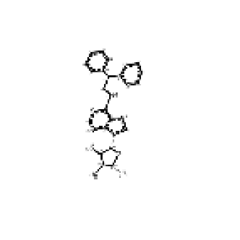 C[C@H]1O[C@@H](n2cnc3c(NCC(c4ccccc4)c4ccccc4)ncnc32)C(O)C1O